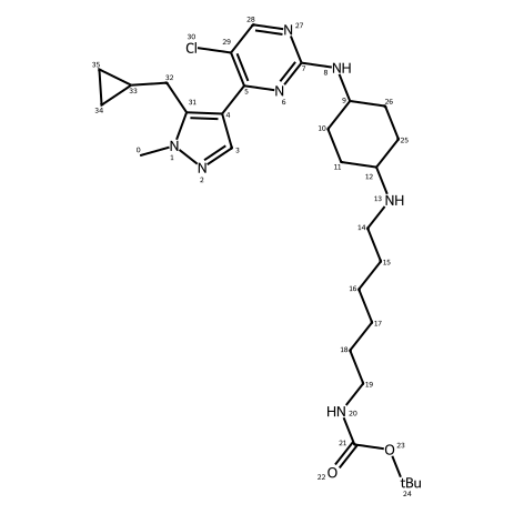 Cn1ncc(-c2nc(NC3CCC(NCCCCCCNC(=O)OC(C)(C)C)CC3)ncc2Cl)c1CC1CC1